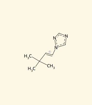 CC(C)(C)/C=C/n1cncn1